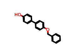 Oc1ccc(-c2ccc(OCc3ccccc3)cc2)cc1